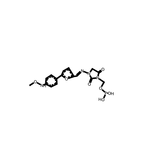 CONc1ccc(-c2ccc(/C=N/N3CC(=O)N(COP(O)O)C3=O)o2)cc1